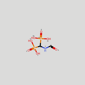 O=CNC(P(=O)(O)O)P(=O)(O)O